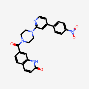 O=C(c1ccc2ccc(=O)[nH]c2c1)N1CCN(c2cc(-c3ccc([N+](=O)[O-])cc3)ccn2)CC1